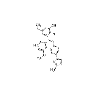 CCc1cc(O)c(F)c(C(=Nc2ccc(-c3noc(C)n3)cc2)C(=NC(=O)OC)SC)c1